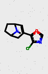 CN1C2C=C(c3ocnc3Cl)CC1CC2